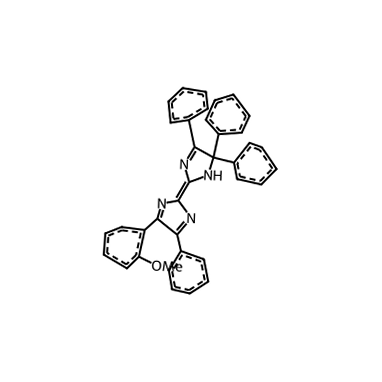 COc1ccccc1C1=NC(=C2N=C(c3ccccc3)C(c3ccccc3)(c3ccccc3)N2)N=C1c1ccccc1